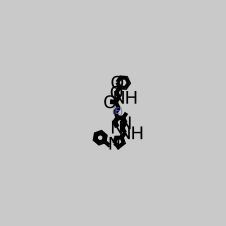 Cc1nc(NC2CCN(Cc3ccccc3)C2)ncc1/C=C/C(=O)NOC1CCCCO1